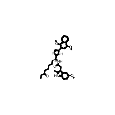 CCC(=O)CCCCC[C@H](NC(=O)Cc1c(C)[nH]c2ccc(OC)cc12)c1ncc(-c2cc(OC)c3ccccc3c2OC)[nH]1